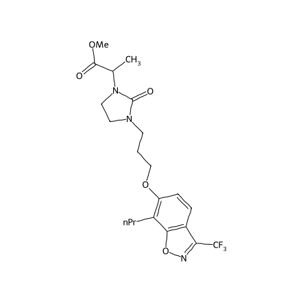 CCCc1c(OCCCN2CCN(C(C)C(=O)OC)C2=O)ccc2c(C(F)(F)F)noc12